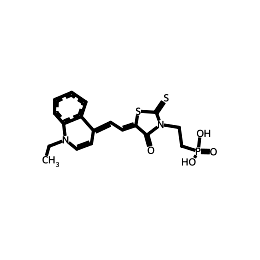 CCN1C=CC(=CC=C2SC(=S)N(CCP(=O)(O)O)C2=O)c2ccccc21